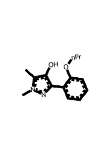 CCCOc1ccccc1-c1nn(C)c(C)c1O